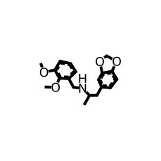 COc1cccc(CNC(C)Cc2ccc3c(c2)OCO3)c1OC